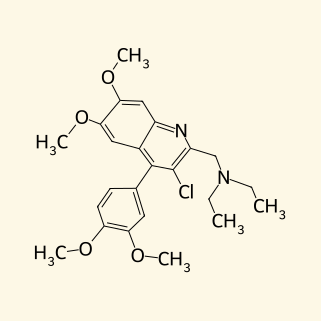 CCN(CC)Cc1nc2cc(OC)c(OC)cc2c(-c2ccc(OC)c(OC)c2)c1Cl